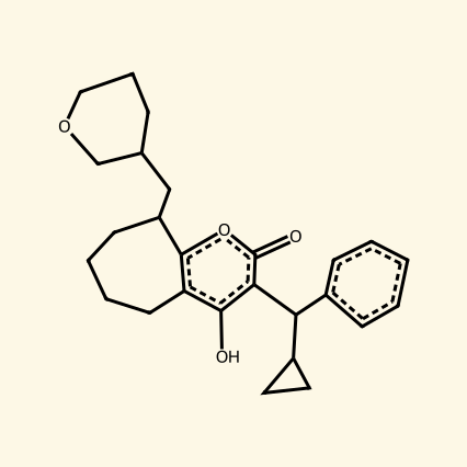 O=c1oc2c(c(O)c1C(c1ccccc1)C1CC1)CCCCC2CC1CCCOC1